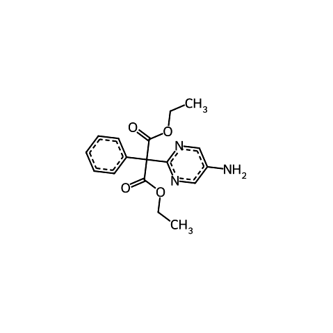 CCOC(=O)C(C(=O)OCC)(c1ccccc1)c1ncc(N)cn1